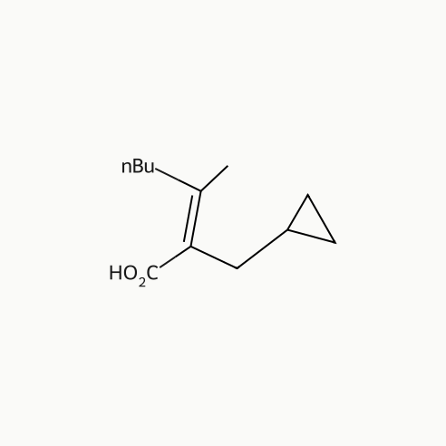 CCCCC(C)=C(CC1CC1)C(=O)O